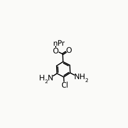 CCCOC(=O)c1cc(N)c(Cl)c(N)c1